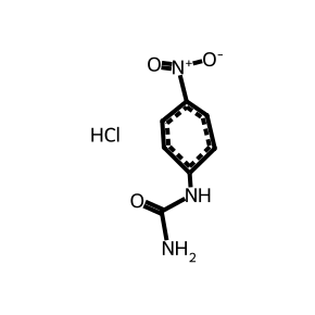 Cl.NC(=O)Nc1ccc([N+](=O)[O-])cc1